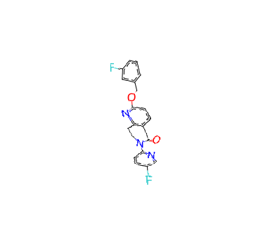 O=C1c2ccc(OCc3cccc(F)c3)nc2CCN1c1ccc(F)cn1